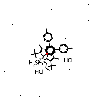 CC[CH2][Zr]([CH3])(=[SiH2])([CH]1C(C(C)(C)C)=C(C)c2c(-c3ccc(C)cc3)cccc21)[CH]1C(C(C)(C)C)=C(C)c2c(-c3ccc(C)cc3)cccc21.Cl.Cl